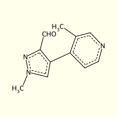 Cc1cnccc1-c1cn(C)nc1C=O